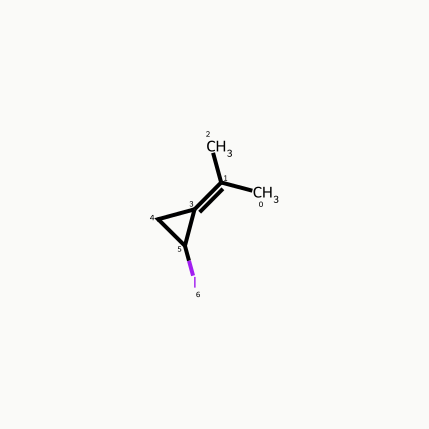 CC(C)=C1CC1I